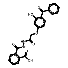 O=C(COc1ccc(C(=O)c2ccccc2)c(O)c1)NNC(=O)c1ccccc1C(=O)O